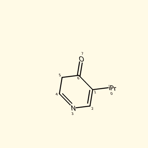 CC(C)C1=CN=CCC1=O